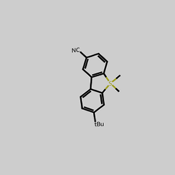 CC(C)(C)c1ccc2c(c1)S(C)(C)c1ccc(C#N)cc1-2